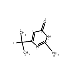 CC(C)(I)c1cc(=O)[nH]c(N)n1